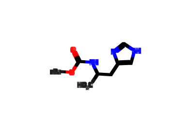 CCCCOC(=O)NC(Cc1c[nH]cn1)C(=O)O